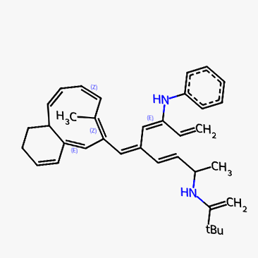 C=C/C(=C\C(C=CC(C)NC(=C)C(C)(C)C)=CC1=C(C)\C=C/C=CC2CCC=C\C2=C\1)Nc1ccccc1